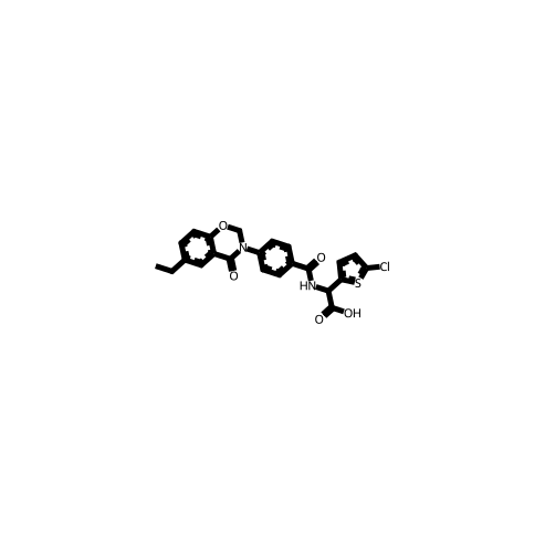 CCc1ccc2c(c1)C(=O)N(c1ccc(C(=O)NC(C(=O)O)c3ccc(Cl)s3)cc1)CO2